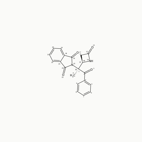 C[C@@](C(=O)c1ccccc1)([C@H]1CC(=O)N1)N1C(=O)c2ccccc2C1=O